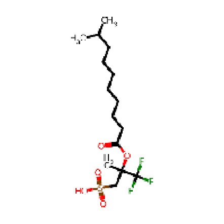 CC(C)CCCCCCCC(=O)OC(C)(CS(=O)(=O)O)C(F)(F)F